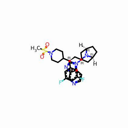 CS(=O)(=O)N1CCC([C@@H](CCN2[C@@H]3CC[C@H]2C[C@@H](n2cnc4cnccc42)C3)c2cc(F)cc(F)c2)CC1